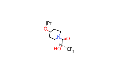 CC(C)OC1CCN(C(=O)[C@@H](O)C(F)(F)F)CC1